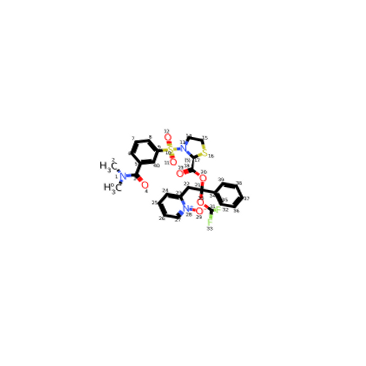 CN(C)C(=O)c1cccc(S(=O)(=O)N2CCS[C@H]2C(=O)OC(Cc2cccc[n+]2[O-])(OC(F)F)c2ccccc2)c1